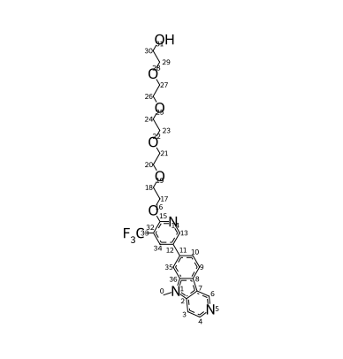 Cn1c2ccncc2c2ccc(-c3cnc(OCCOCCOCCOCCOCCO)c(C(F)(F)F)c3)cc21